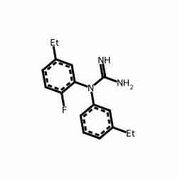 CCc1cccc(N(C(=N)N)c2cc(CC)ccc2F)c1